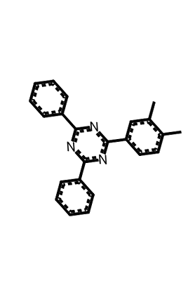 Cc1ccc(-c2nc(-c3ccccc3)nc(-c3ccccc3)n2)cc1C